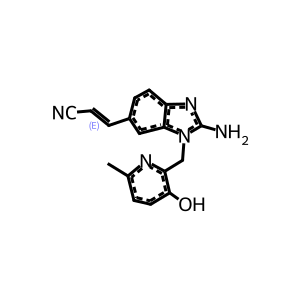 Cc1ccc(O)c(Cn2c(N)nc3ccc(/C=C/C#N)cc32)n1